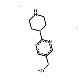 OCc1cnc(N2CCNCC2)nc1